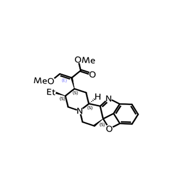 CC[C@@H]1CN2CC[C@]34Oc5cccc(c53)N=C4[C@@H]2C[C@@H]1/C(=C\OC)C(=O)OC